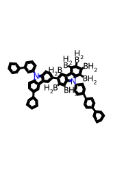 Bc1c(B)c(B)c2c(c1B)c1c(B)c(-c3ccc4c(c3)c3cc(-c5ccccc5)ccc3n4-c3cccc(-c4ccccc4)c3)c(B)c(B)c1n2-c1ccc(-c2ccc(-c3ccccc3)cc2)cc1